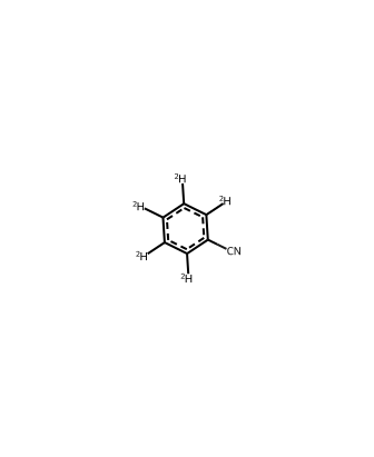 [2H]c1c([2H])c([2H])c(C#N)c([2H])c1[2H]